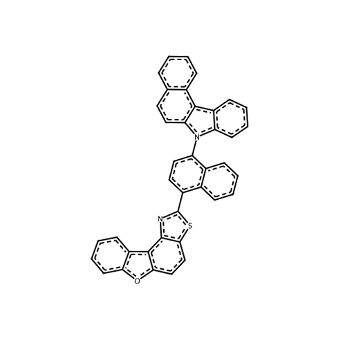 c1ccc2c(c1)ccc1c2c2ccccc2n1-c1ccc(-c2nc3c(ccc4oc5ccccc5c43)s2)c2ccccc12